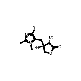 [2H]c1nc(C)n(C)c1C[C@@]1([2H])COC(=O)[C@H]1CC